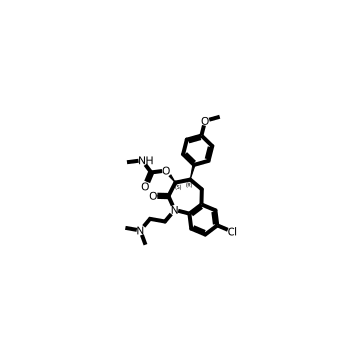 CNC(=O)O[C@@H]1C(=O)N(CCN(C)C)c2ccc(Cl)cc2C[C@@H]1c1ccc(OC)cc1